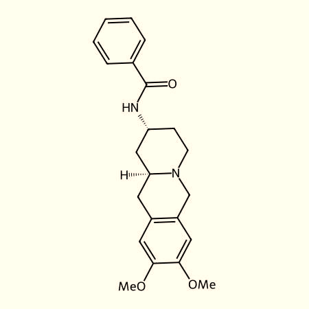 COc1cc2c(cc1OC)CN1CC[C@@H](NC(=O)c3ccccc3)C[C@@H]1C2